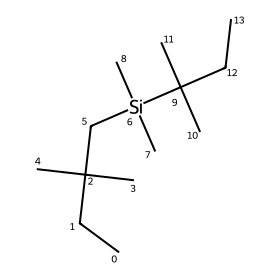 CCC(C)(C)C[Si](C)(C)C(C)(C)CC